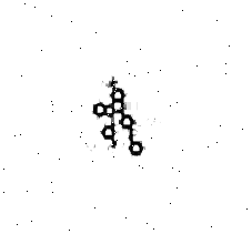 COC(=O)c1cccc(Oc2cc(OCc3ccccc3)c(OC)cc2C2Nc3ccc(C(=N)N)cc3C3c4ccccc4CC23)c1